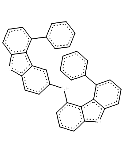 c1ccc(-c2cccc3sc4ccc(Nc5cccc6oc7cccc(-c8ccccc8)c7c56)cc4c23)cc1